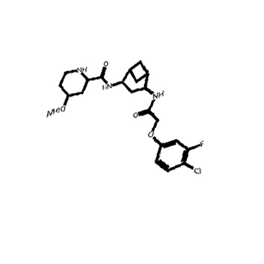 COC1CCNC(C(=O)NC2CC(NC(=O)COc3ccc(Cl)c(F)c3)C3CC2C3)C1